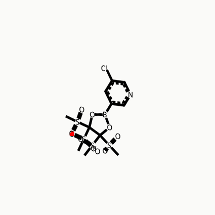 CS(=O)(=O)C1(S(C)(=O)=O)OB(c2cncc(Cl)c2)OC1(S(C)(=O)=O)S(C)(=O)=O